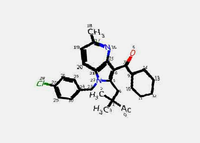 CC(=O)C(C)(C)Cc1c(C(=O)C2CCCCC2)c2nc(C)ccc2n1Cc1ccc(Cl)cc1